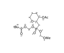 COCOP(=O)(CC1OCCCC1OC(C)=O)OCOC(=O)C(C)(C)C